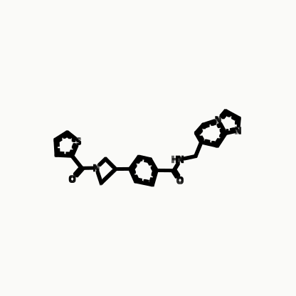 O=C(NCc1ccn2ccnc2c1)c1ccc(C2CN(C(=O)c3cccs3)C2)cc1